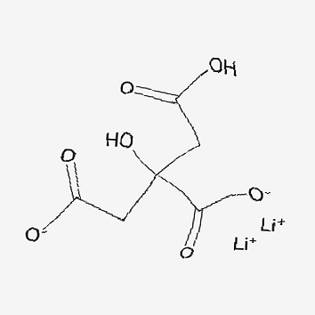 O=C([O-])CC(O)(CC(=O)O)C(=O)[O-].[Li+].[Li+]